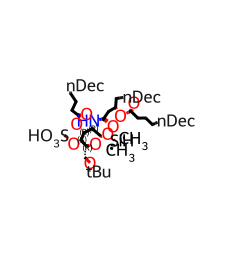 CCCCCCCCCCCCCC(=O)OC(CCCCCCCCCCC)CC(=O)N[C@H]1C(O[SiH](C)C)O[C@H](COC(C)(C)C)[C@@H](OS(=O)(=O)O)[C@@H]1OC(=O)CCCCCCCCCCCCC